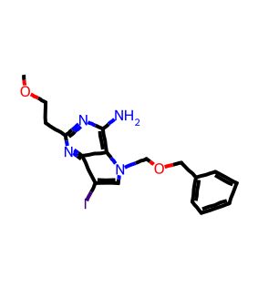 COCCc1nc(N)c2c(n1)c(I)cn2COCc1ccccc1